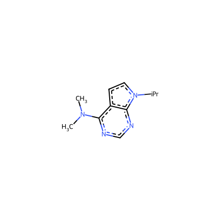 CC(C)n1ccc2c(N(C)C)ncnc21